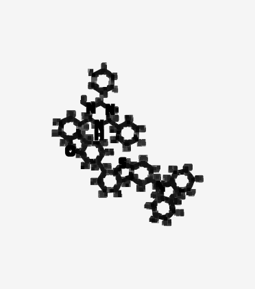 CN1C(c2ccccc2)N=C(c2ccccc2)NC1c1cccc2oc3cc(-c4cccc5c4sc4ccc(-n6c7ccccc7c7ccccc76)cc45)ccc3c12